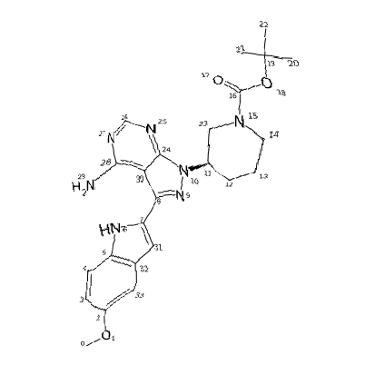 COc1ccc2[nH]c(-c3nn([C@@H]4CCCN(C(=O)OC(C)(C)C)C4)c4ncnc(N)c34)cc2c1